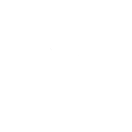 CCCCCCCCCCCC[N+](C)(C)CCc1ccccc1.[Br-]